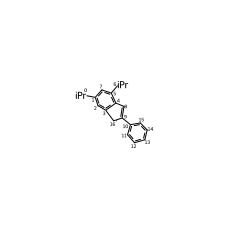 CC(C)c1cc2c(c(C(C)C)c1)C=C(c1ccccc1)[CH]2